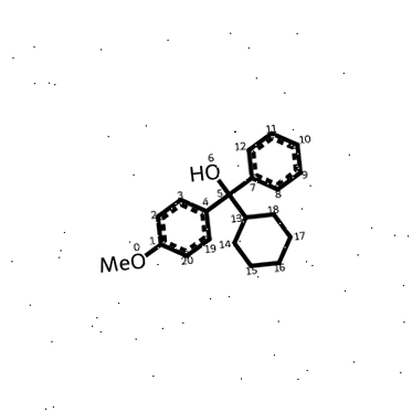 COc1ccc(C(O)(c2ccccc2)C2CCCCC2)cc1